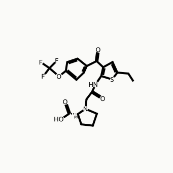 CCc1cc(C(=O)c2ccc(OC(F)(F)F)cc2)c(NC(=O)CN2CCC[C@@H]2C(=O)O)s1